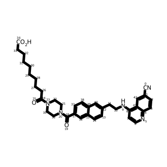 N#Cc1ccc2nccc(NCCc3ccc4cc(C(=O)N5CCN(C(=O)CCCCCCCCC(=O)O)CC5)ccc4c3)c2c1